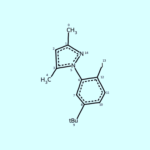 Cc1cc(C)n(-c2cc(C(C)(C)C)ccc2I)n1